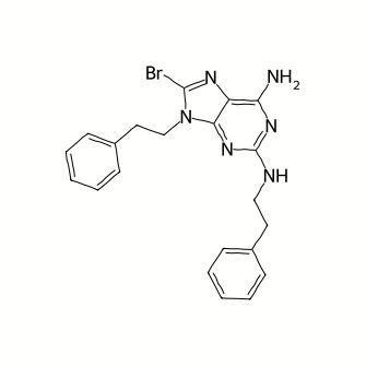 Nc1nc(NCCc2ccccc2)nc2c1nc(Br)n2CCc1ccccc1